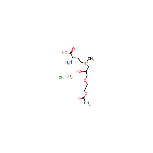 CC(=O)OCCOCC(O)C[S+](C)CC[C@H](N)C(=O)O.Cl.S.[Cl-]